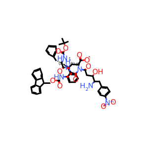 COC(=O)[C@H]([C@@H](C)[C@H](C)c1ccccc1NC(=O)OCC1c2ccccc2-c2ccccc21)N(C(=O)CC(O)C(N)Cc1ccc([N+](=O)[O-])cc1)C(=O)C(C)NC(=O)[C@H](Cc1ccccc1)NC(=O)OC(C)(C)C